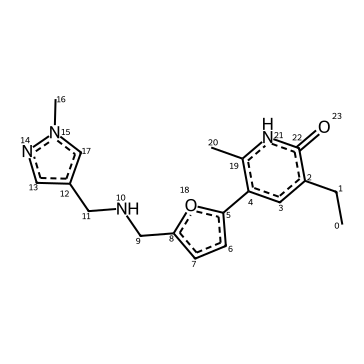 CCc1cc(-c2ccc(CNCc3cnn(C)c3)o2)c(C)[nH]c1=O